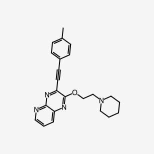 Cc1ccc(C#Cc2nc3ncccc3nc2OCCN2CCCCC2)cc1